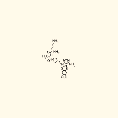 C[C@H](OC(=O)[C@@H](N)CCCCN)C(=O)N1CCC(CCn2c(Sc3cc4c(cc3Br)OCO4)nc3c(N)ncnc32)CC1